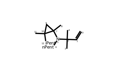 C=CC(C)(C)N(CCCCC)C1(C)CC1(C)C(C)CCC